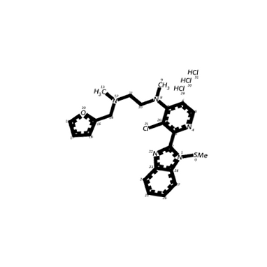 CSn1c(-c2nccc(N(C)CCN(C)Cc3ccco3)c2Cl)nc2ccccc21.Cl.Cl.Cl